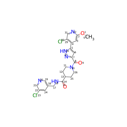 COc1cc(-c2cc(C(=O)N3CCC(C(=O)NCc4cncc(Cl)c4)CC3)n[nH]2)c(Cl)cn1